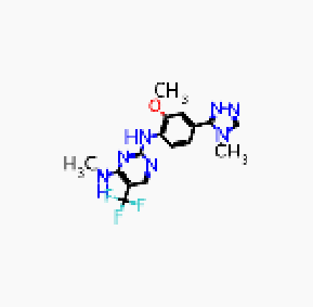 CNc1nc(Nc2ccc(-c3nncn3C)cc2OC)ncc1C(F)(F)F